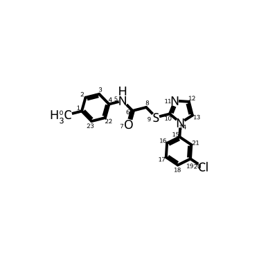 Cc1ccc(NC(=O)CSc2nccn2-c2cccc(Cl)c2)cc1